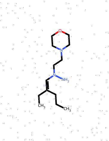 CCC/C(=C\N(N)CCN1CCOCC1)CC